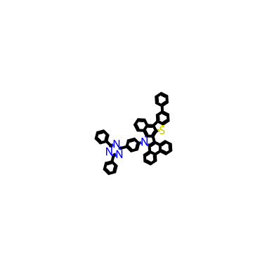 c1ccc(-c2ccc3sc4c(c3c2)c2ccccc2c2c4c3c4ccccc4c4ccccc4c3n2-c2ccc(-c3nc(-c4ccccc4)nc(-c4ccccc4)n3)cc2)cc1